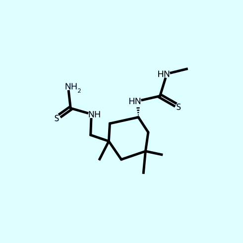 CNC(=S)N[C@@H]1CC(C)(C)CC(C)(CNC(N)=S)C1